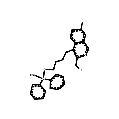 CC(C)(C)[Si](OCCCCc1c(CCl)ncc2cc(Cl)ccc12)(c1ccccc1)c1ccccc1